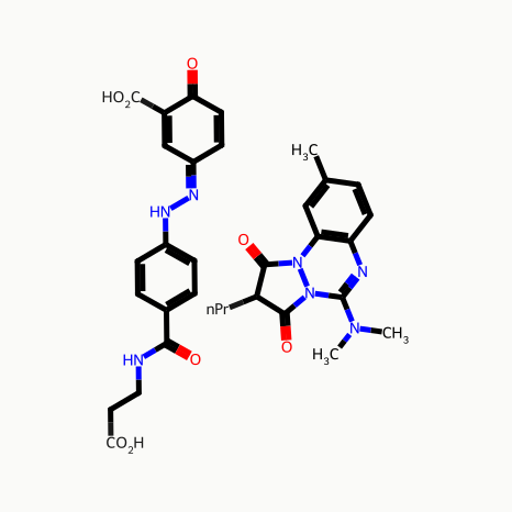 CCCC1C(=O)N2C(N(C)C)=Nc3ccc(C)cc3N2C1=O.O=C(O)CCNC(=O)c1ccc(N/N=C2/C=CC(=O)C(C(=O)O)=C2)cc1